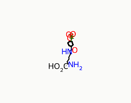 N[C@@H](CCCCNC(=O)c1ccc(OS(=O)(=O)F)cc1)C(=O)O